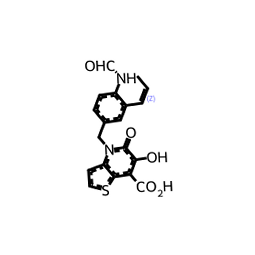 C/C=C\c1cc(Cn2c(=O)c(O)c(C(=O)O)c3sccc32)ccc1NC=O